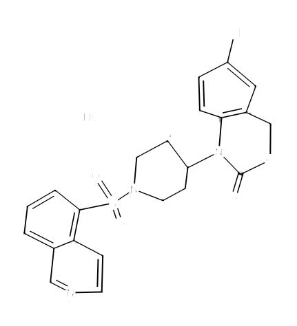 Cl.O=C1OCc2cc(Cl)ccc2N1C1CCN(S(=O)(=O)c2cccc3cnccc23)CC1